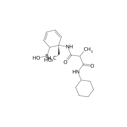 CC[C@]1(NC(=O)C(C)C(=O)NC2CCCCC2)C=CC=CC1B(O)O